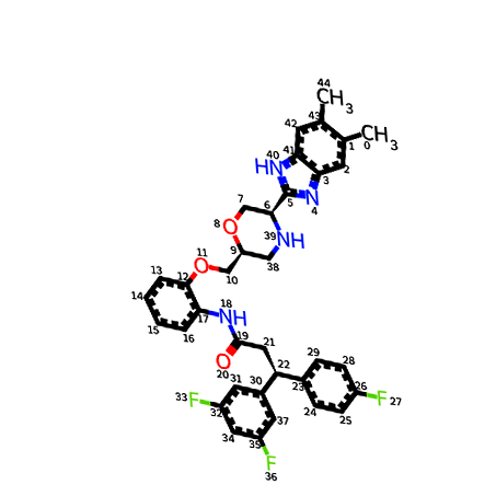 Cc1cc2nc([C@@H]3CO[C@H](COc4ccccc4NC(=O)C[C@@H](c4ccc(F)cc4)c4cc(F)cc(F)c4)CN3)[nH]c2cc1C